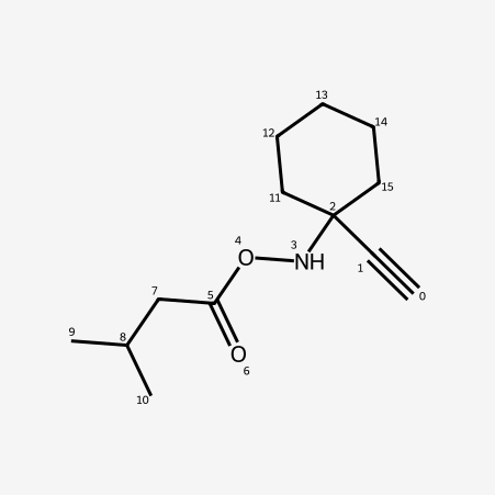 C#CC1(NOC(=O)CC(C)C)CCCCC1